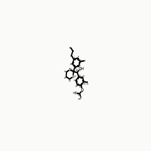 CCCc1cc(C)cc(C2(C(O)c3ccc(OC(F)F)c(C)c3)SCCCS2)c1